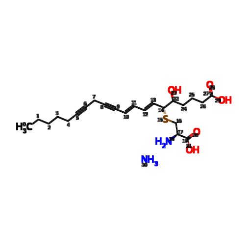 CCCCCC#CCC#CC=CC=C[C@@H](SC[C@H](N)C(=O)O)[C@@H](O)CCCC(=O)O.N